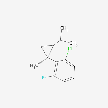 CC(C)C1C[C@]1(C)c1c(F)cccc1Cl